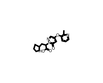 Cc1ncccc1Oc1cnn(C(CC2CCCC2)C(=O)O)c(=O)c1